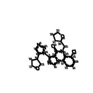 O=c1c2c(-n3nncc3C3CCOC3)ncn2c2cccc(Cl)c2n1CC1CCCO1